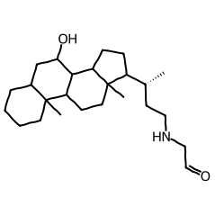 C[C@H](CCNCC=O)C1CCC2C3C(O)CC4CCCCC4(C)C3CCC21C